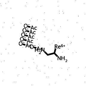 CC(=O)[O-].CC(=O)[O-].CC(=O)[O-].CC(=O)[O-].CC(=O)[O-].CC(=O)[O-].NC[CH](N)[Re+6]